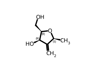 C=C1[C@H](C)O[C@H](CO)[C@@H]1O